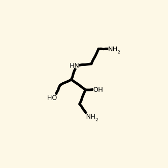 NCCNC(CO)C(O)CN